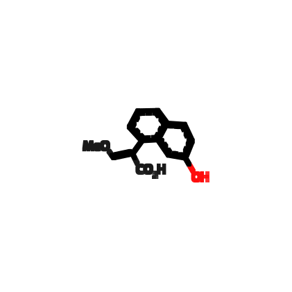 CO/C=C(/C(=O)O)c1cccc2ccc(O)cc12